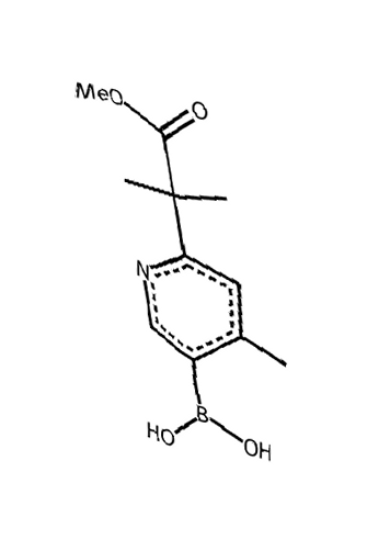 COC(=O)C(C)(C)c1cc(C)c(B(O)O)cn1